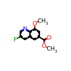 COC(=O)c1cc(OC)c2ncc(F)cc2c1